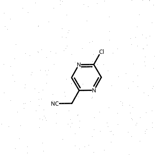 N#CCc1cnc(Cl)cn1